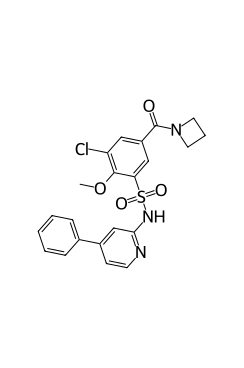 COc1c(Cl)cc(C(=O)N2CCC2)cc1S(=O)(=O)Nc1cc(-c2ccccc2)ccn1